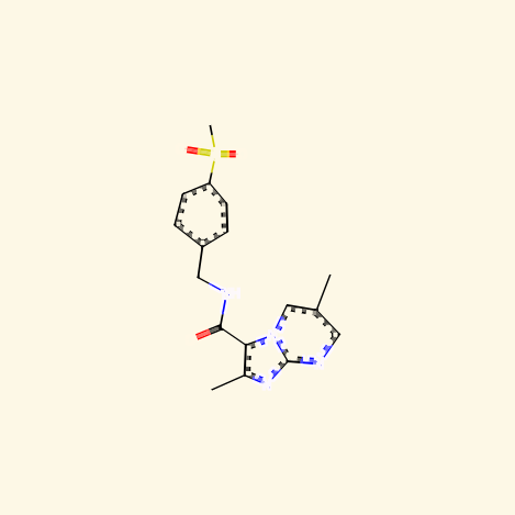 Cc1cnc2nc(C)c(C(=O)NCc3ccc(S(C)(=O)=O)cc3)n2c1